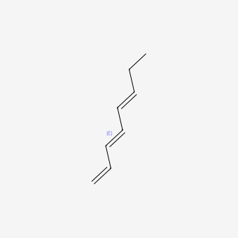 C=C/C=C/C=CCC